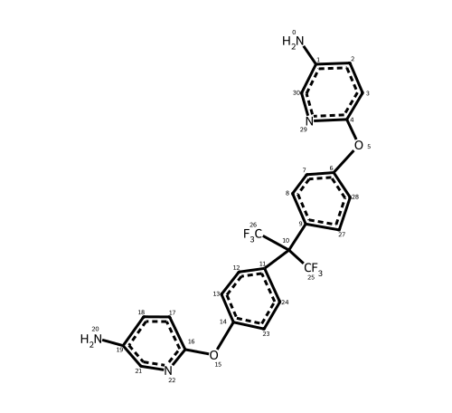 Nc1ccc(Oc2ccc(C(c3ccc(Oc4ccc(N)cn4)cc3)(C(F)(F)F)C(F)(F)F)cc2)nc1